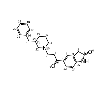 O=C1Cc2cc(C(=O)CCN3CCC[C@@H](Cc4ccccc4)C3)ccc2N1